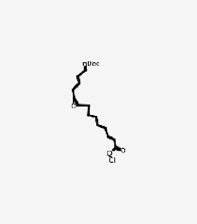 CCCCCCCCCCCCCCC1OC1CCCCCCCC(=O)OCl